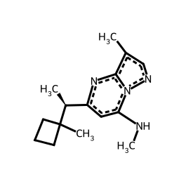 CNc1cc([C@H](C)C2(C)CCC2)nc2c(C)cnn12